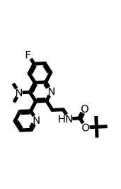 CN(C)c1c(-c2ccccn2)c(CCNC(=O)OC(C)(C)C)nc2ccc(F)cc12